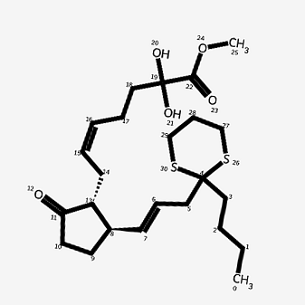 CCCCC1(C/C=C/[C@H]2CCC(=O)[C@@H]2C/C=C\CCC(O)(O)C(=O)OC)SCCCS1